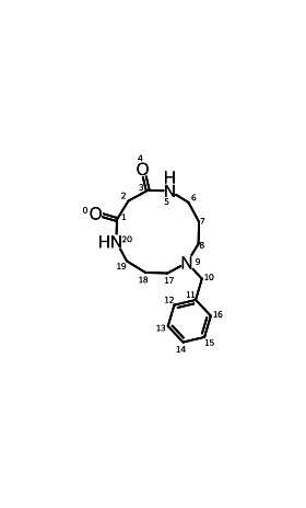 O=C1CC(=O)NCCCN(Cc2ccccc2)CCCN1